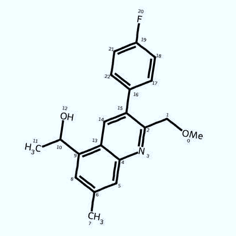 COCc1nc2cc(C)cc(C(C)O)c2cc1-c1ccc(F)cc1